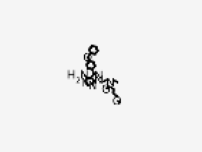 CCN(CCn1nc(-c2ccc(Oc3ccccc3)cc2)c2c(N)ncnc21)C(=O)/C=C/COC